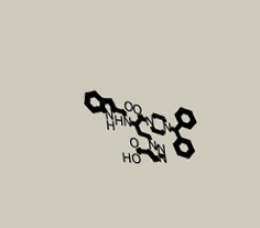 O=C(NC(CCn1nncc1C(=O)O)C(=O)N1CCN(C(c2ccccc2)c2ccccc2)CC1)c1cc2ccccc2[nH]1